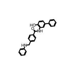 O=C(Nc1cc(-c2ccccc2)ccc1O)c1ccc(CNc2ccccc2)cc1